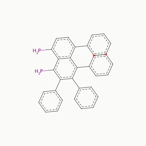 Pc1ccc(-c2ccccc2)c2c(-c3ccccc3)c(-c3ccccc3)c(-c3ccccc3)c(P)c12